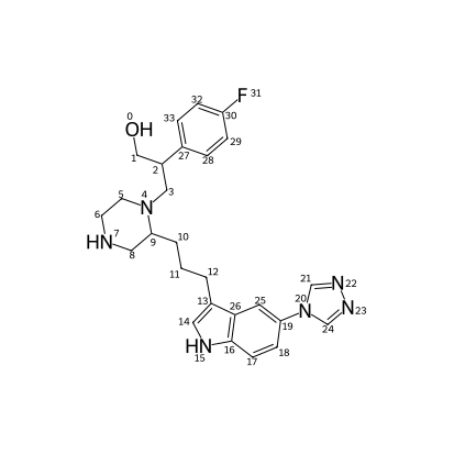 OCC(CN1CCNCC1CCCc1c[nH]c2ccc(-n3cnnc3)cc12)c1ccc(F)cc1